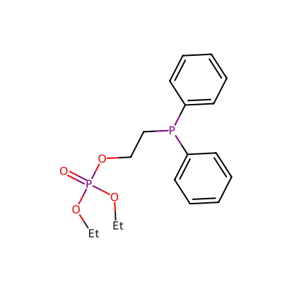 CCOP(=O)(OCC)OCCP(c1ccccc1)c1ccccc1